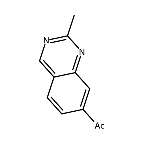 CC(=O)c1ccc2cnc(C)nc2c1